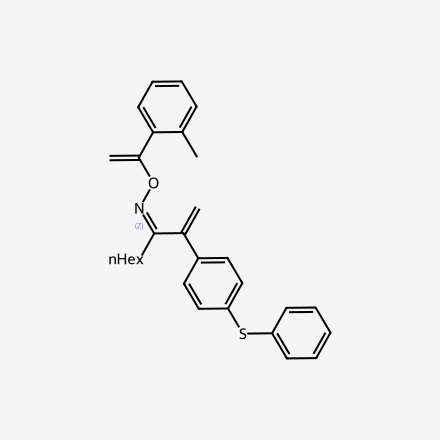 C=C(/C(CCCCCC)=N\OC(=C)c1ccccc1C)c1ccc(Sc2ccccc2)cc1